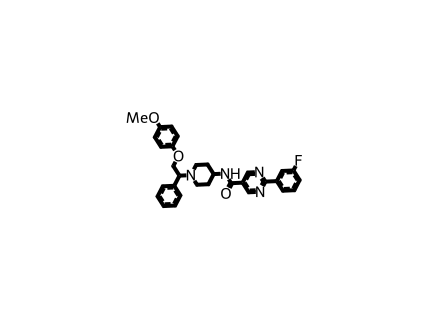 COc1ccc(OCC(c2ccccc2)N2CCC(NC(=O)c3cnc(-c4cccc(F)c4)nc3)CC2)cc1